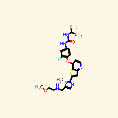 COCCNCc1cnc(-c2cc3nccc(Oc4ccc(NC(=O)NC(C)C)cc4F)c3s2)n1C